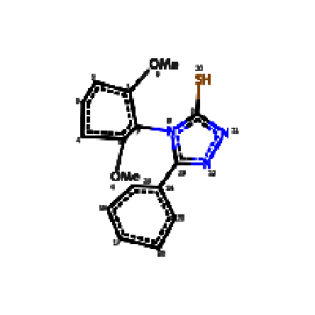 COc1cccc(OC)c1-n1c(S)nnc1-c1ccccc1